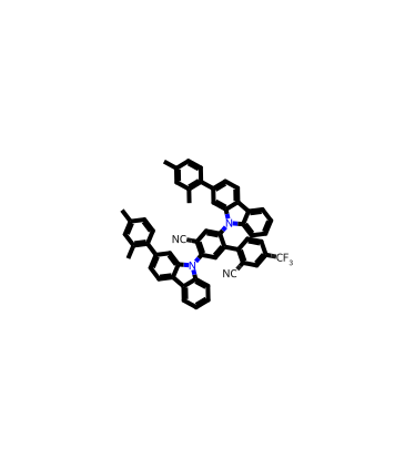 Cc1ccc(-c2ccc3c4ccccc4n(-c4cc(-c5ccc(C(F)(F)F)cc5C#N)c(-n5c6ccccc6c6ccc(-c7ccc(C)cc7C)cc65)cc4C#N)c3c2)c(C)c1